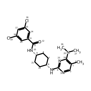 Cc1cnc(N[C@H]2CC[C@@H](NC(=O)c3cc(Cl)cc(Cl)c3)CC2)nc1N(C)C